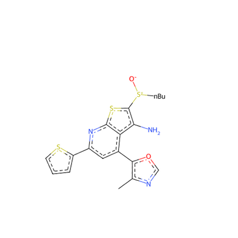 CCCC[S+]([O-])c1sc2nc(-c3cccs3)cc(-c3ocnc3C)c2c1N